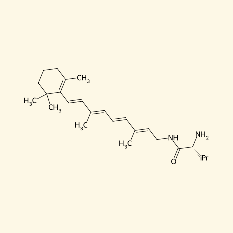 CC1=C(/C=C/C(C)=C/C=C/C(C)=C/CNC(=O)[C@H](N)C(C)C)C(C)(C)CCC1